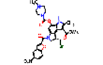 COC(=O)c1c(C)[nH]c2c(OC(=O)N3CCN(C)CC3)cc3c(c12)[C@H](CBr)CN3C(=O)c1cc2cc([N+](=O)[O-])ccc2o1